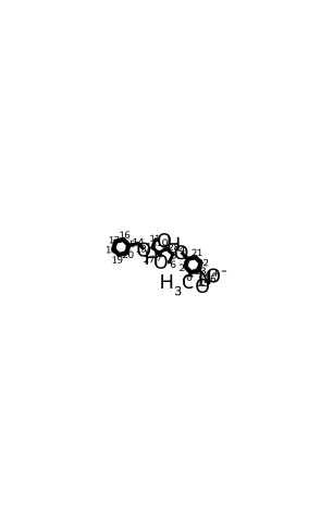 Cc1cc(O[C@@H]2CO[C@H]3[C@@H]2OC[C@H]3OCc2ccccc2)ccc1[N+](=O)[O-]